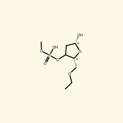 CCOC[C@H]1O[C@@H](O)CC1OP(=O)(O)OC